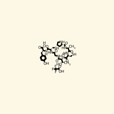 C[C@H](NC(=O)[C@@H]1CCCN1)C(=O)N[C@@H](CS)C(=O)N[C@H](C(=O)NCC(=O)N[C@@H](CS)C(=O)N[C@@H](Cc1ccc(O)cc1)C(=O)O)[C@@H](C)O.O=C(O)C(F)(F)F